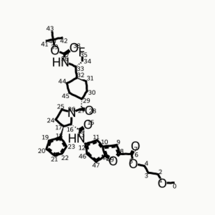 COCCCOC(=O)c1cc2cc(NC(=O)[C@@H]3[C@@H](c4ccccc4)CCN3C(=O)[C@H]3CC[C@H]([C@@H](CF)NC(=O)OC(C)(C)C)CC3)ccc2o1